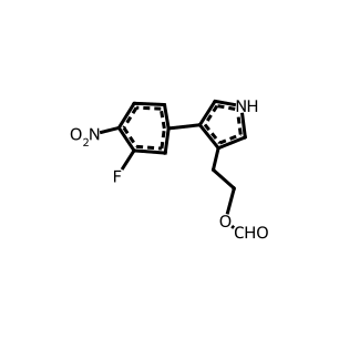 O=COCCc1c[nH]cc1-c1ccc([N+](=O)[O-])c(F)c1